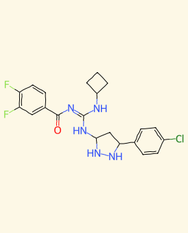 O=C(/N=C(/NC1CCC1)NC1CC(c2ccc(Cl)cc2)NN1)c1ccc(F)c(F)c1